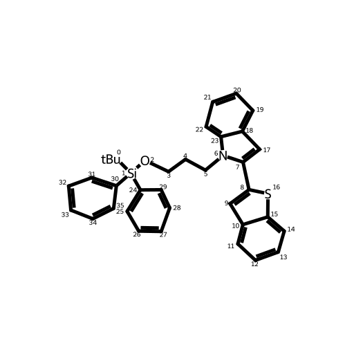 CC(C)(C)[Si](OCCCn1c(-c2cc3ccccc3s2)cc2ccccc21)(c1ccccc1)c1ccccc1